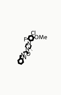 COc1cc(N2CCN(C(=O)Cn3cc4ccccc4n3)[C@@H](C)C2)c(F)cc1Cl